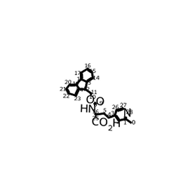 Cc1cc(CC[C@H](NC(=O)OCC2c3ccccc3-c3ccccc32)C(=O)O)ccn1